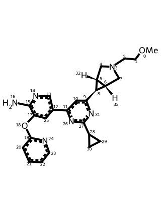 COCCN1C[C@@H]2[C@H](C1)[C@H]2c1cc(-c2cnc(N)c(Oc3ccccn3)c2)nc(C2CC2)n1